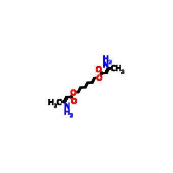 C/C(N)=C/C(=O)OCCCCCCOC(=O)/C=C(/C)N